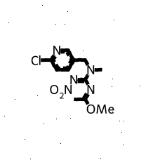 COC(C)=NC(=N[N+](=O)[O-])N(C)Cc1ccc(Cl)nc1